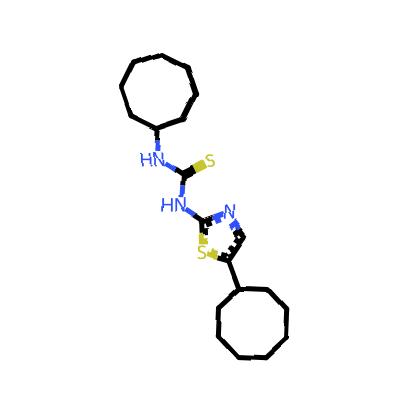 S=C(Nc1ncc(C2CCCCCCC2)s1)NC1CCCCCCC1